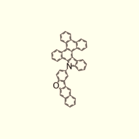 c1ccc2cc3c(cc2c1)oc1ccc(-n2c4ccccc4c4c5c6ccccc6c6ccccc6c5c5ccccc5c42)cc13